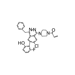 C=CC(=O)N1CCN(c2nnc(Cc3ccccc3)c3cc(-c4c(O)cccc4F)c(Cl)cc23)CC1